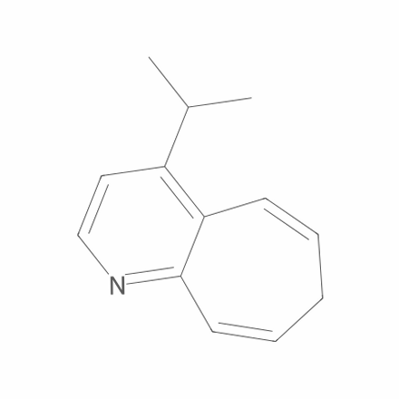 CC(C)c1ccnc2c1C=CCC=C2